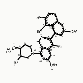 CCc1c(F)ccc2cc(O)cc(-c3ncc4c(N5CCC(C)C(O)C5)nc(OC)nc4c3F)c12